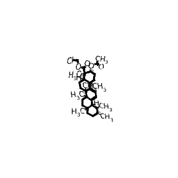 CC(=O)O[C@@H]1CC[C@]2(C)C3=CC=C4[C@@H]5[C@@H](C)[C@H](C)CC[C@]5(C)CC[C@]4(C)[C@]3(C)CC[C@H]2[C@@]1(C)C(=O)OCCl